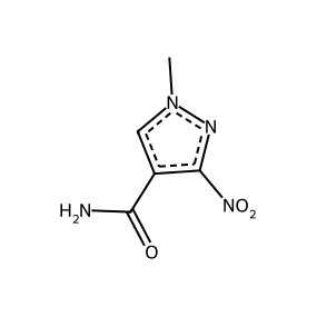 Cn1cc(C(N)=O)c([N+](=O)[O-])n1